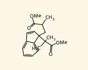 COC(=O)C(C)CC1(C(C)(C)C(=O)OC)C=Cc2ccccc21